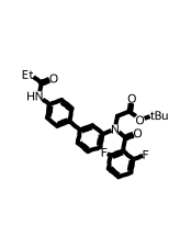 CCC(=O)Nc1ccc(-c2cccc(N(CC(=O)OC(C)(C)C)C(=O)c3c(F)cccc3F)c2)cc1